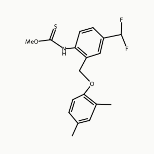 COC(=S)Nc1ccc(C(F)F)cc1COc1ccc(C)cc1C